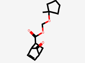 CC1(OCOC(=O)C2CC3C=CC2C3=O)CCCC1